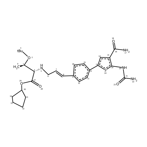 C[C@@H](OC(C)(C)C)[C@H](NCC=Cc1ccc(-c2cc(C(N)=O)c(NC(N)=O)s2)cc1)C(=O)OC1CCCC1